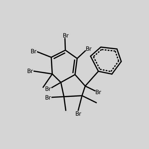 CC1(Br)C(Br)=C(Br)C(Br)=C2C(Br)(c3ccccc3)C(C)(Br)C(C)(Br)C21Br